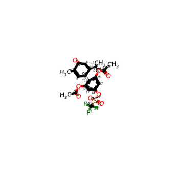 C=C(C)[C@@H]1CC(=O)C(C)=C[C@H]1c1c(OC(C)=O)cc(OS(=O)(=O)C(F)(F)F)cc1OC(C)=O